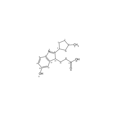 CC1CCC(C2=Nc3ccc(O)cc3C2CCC(=O)O)C1